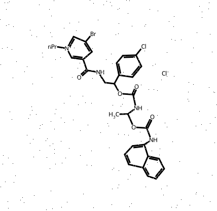 CCC[n+]1cc(Br)cc(C(=O)NCC(OC(=O)NC(C)OC(=O)Nc2cccc3ccccc23)c2ccc(Cl)cc2)c1.[Cl-]